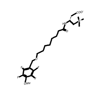 COc1c(F)c(F)c(COCCCCCCCC(=O)N[C@H](CC(=O)[O-])C[N+](C)(C)C)c(F)c1F